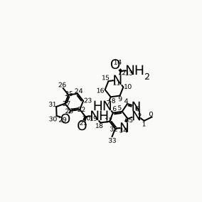 CCn1ncc2c(NC3CCN(C(N)=O)CC3)c(CNC(=O)c3ccc(C)c4c3OCC4)c(C)nc21